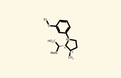 CCOc1cccc([SH]2CC[C@@H](C)[C@@H]2C(NC)C(=O)O)c1